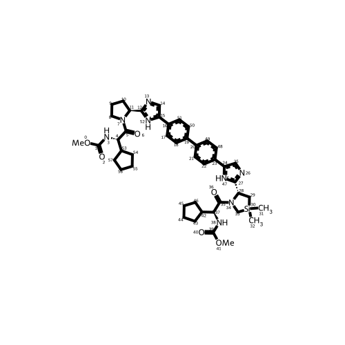 COC(=O)N[C@H](C(=O)N1CCC[C@H]1c1ncc(-c2ccc(-c3ccc(-c4cnc([C@@H]5C[Si](C)(C)CN5C(=O)[C@@H](NC(=O)OC)C5CCCC5)[nH]4)cc3)cc2)[nH]1)C1CCCC1